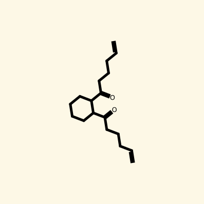 C=CCCCC(=O)C1CCCCC1C(=O)CCCC=C